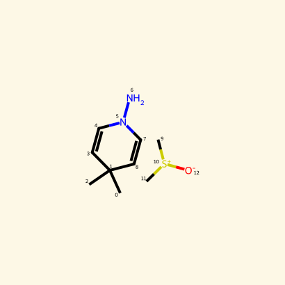 CC1(C)C=CN(N)C=C1.C[S+](C)[O-]